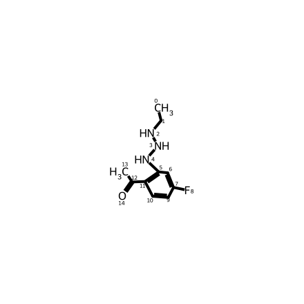 CCNNNc1cc(F)ccc1C(C)=O